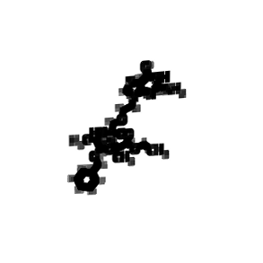 CCOC(=O)[C@H](C)NP(=O)(COCCn1cnc2c(=O)[nH]c(N)nc21)N[C@H](C)C(=O)OCc1ccccc1